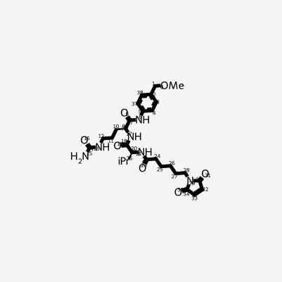 COCc1ccc(NC(=O)[C@H](CCCNC(N)=O)NC(=O)[C@@H](NC(=O)CCCCCN2C(=O)C=CC2=O)C(C)C)cc1